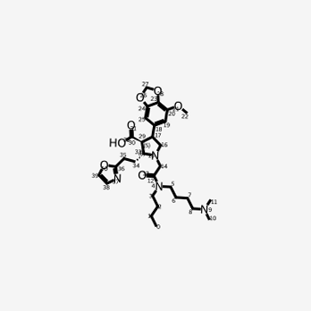 CCCCN(CCCCN(C)C)C(=O)CN1CC(c2cc(OC)c3c(c2)OCO3)[C@H](C(=O)O)[C@H]1CCc1ncco1